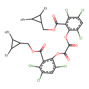 CCCC1C(CC)C1COC(=O)c1c(Cl)c(Cl)cc(Cl)c1OC(=O)C(=O)Oc1c(Cl)cc(Cl)c(Cl)c1C(=O)OCC1C(CC)C1CCC